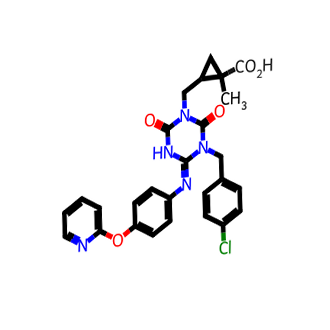 CC1(C(=O)O)CC1Cn1c(=O)[nH]c(=Nc2ccc(Oc3ccccn3)cc2)n(Cc2ccc(Cl)cc2)c1=O